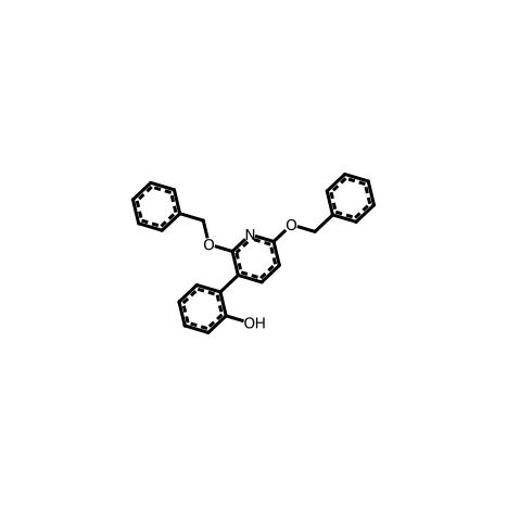 Oc1ccccc1-c1ccc(OCc2ccccc2)nc1OCc1ccccc1